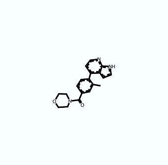 Cc1cc(C(=O)N2CCOCC2)ccc1-c1ccnc2[nH]ccc12